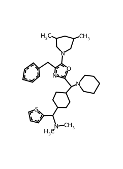 CC1CC(C)CN(c2oc(C(C3CCC(C(c4cccs4)N(C)C)CC3)N3CCCCC3)nc2Cc2ccccc2)C1